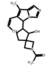 C/C=C\C1=C(C)c2cncn2C1C1CCC2(CN(C(C)=O)C2)C1O